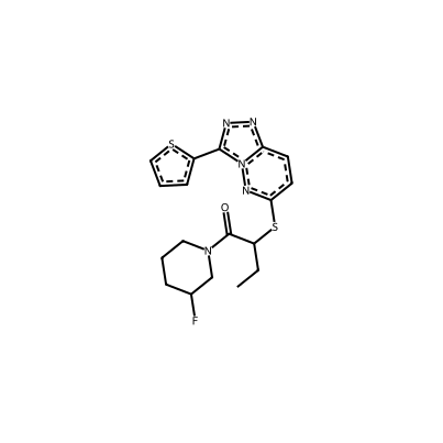 CCC(Sc1ccc2nnc(-c3cccs3)n2n1)C(=O)N1CCCC(F)C1